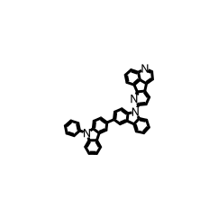 c1ccc(-n2c3ccccc3c3cc(-c4ccc5c(c4)c4ccccc4n5-c4ccc5c(n4)-c4cccc6nccc-5c46)ccc32)cc1